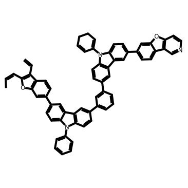 C=Cc1c(/C=C\C)oc2cc(-c3ccc4c(c3)c3cc(-c5cccc(-c6ccc7c(c6)c6cc(-c8ccc9c(c8)oc8ccncc89)ccc6n7C6=CCCC=C6)c5)ccc3n4-c3ccccc3)ccc12